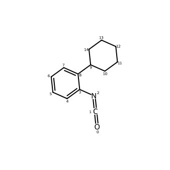 O=C=Nc1ccccc1C1CCCCC1